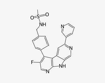 CS(=O)(=O)NCc1ccc(-c2c(F)cnc3[nH]c4cnc(-c5cccnc5)cc4c23)cc1